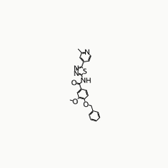 COc1cc(C(=O)Nc2nnc(-c3ccnc(C)c3)s2)ccc1OCc1ccccc1